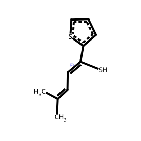 CC(C)=C/C=C(\S)c1cccs1